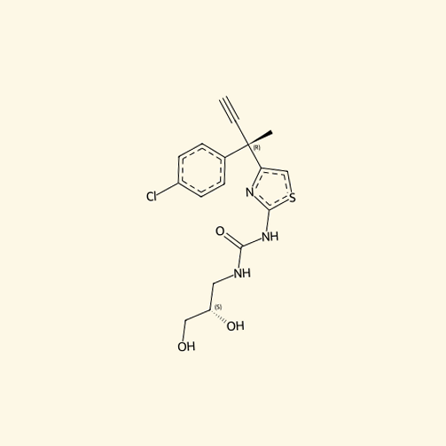 C#C[C@@](C)(c1ccc(Cl)cc1)c1csc(NC(=O)NC[C@H](O)CO)n1